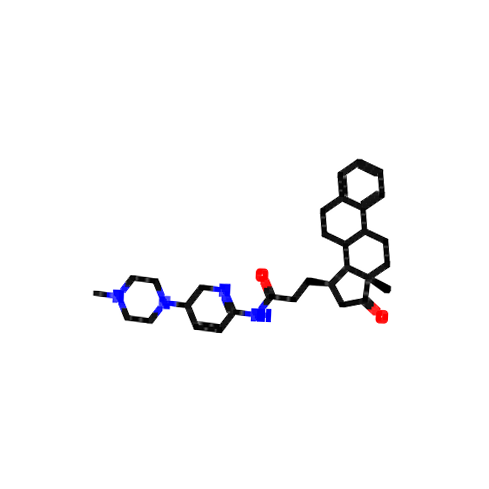 CN1CCN(C2C=CC(NC(=O)CC[C@@H]3CC(=O)[C@@]4(C)CCC5c6ccccc6CCC5C34)=NC2)CC1